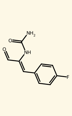 NC(=O)NC(C=O)=Cc1ccc(F)cc1